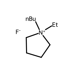 CCCC[N+]1(CC)CCCC1.[F-]